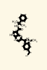 Cn1nc(-c2cnc3[nH]cc(C(=O)NC(C)(C)c4ccccc4)c3n2)c2ccc(CI)cc21